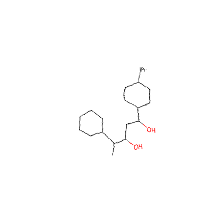 CC(C)C1CCC(C(O)CC(O)C(C)C2CCCCC2)CC1